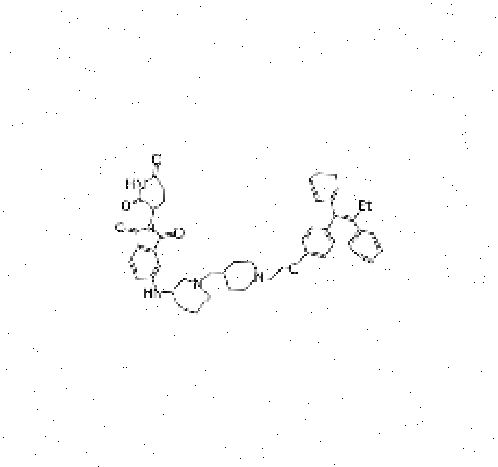 CCC(=C(c1ccccc1)c1ccc(OCCN2CCC(CN3CCC[C@@H](Nc4ccc5c(c4)C(=O)N(C4CCC(=O)NC4=O)C5=O)C3)CC2)cc1)c1ccccc1